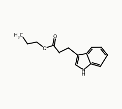 CCCOC(=O)[CH]Cc1c[nH]c2ccccc12